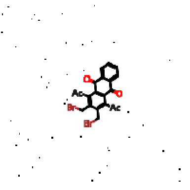 CC(=O)c1c(CBr)c(CBr)c(C(C)=O)c2c1C(=O)c1ccccc1C2=O